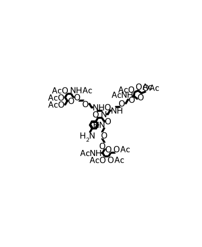 CC(=O)NC1C(OCCOCCNC(=O)CN(CC(=O)NCCOCCOC2(NC(C)=O)COC(COC(C)=O)C(OC(C)=O)C2OC(C)=O)C(Cc2ccc(CN)cc2)C(=O)NCCOCCOC2OC(COC(C)=O)C(OC(C)=O)C(OC(C)=O)C2NC(C)=O)OC(COC(C)=O)C(OC(C)=O)C1OC(C)=O